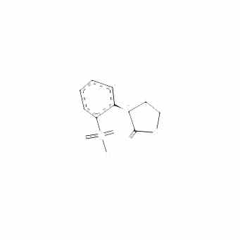 NS(=O)(=O)c1ccccc1[C@H]1CCNC1=O